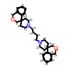 c1ccc2c(c1)COCC21CCN(CCCCN2CCC3(CC2)COCc2ccccc23)CC1